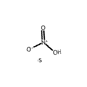 O=[N+]([O-])O.[S]